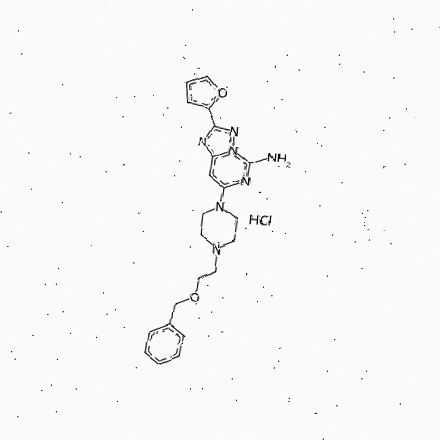 Cl.Nc1nc(N2CCN(CCOCc3ccccc3)CC2)cc2nc(-c3ccco3)nn12